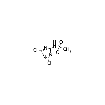 CS(=O)(=O)Nc1nc(Cl)nc(Cl)n1